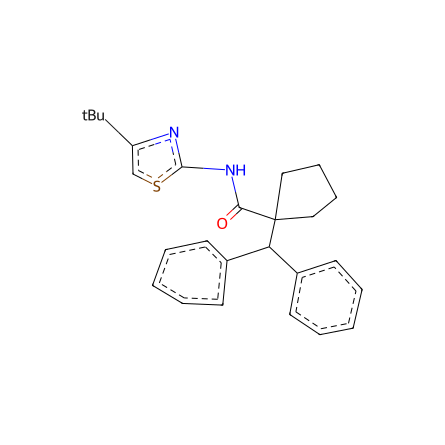 CC(C)(C)c1csc(NC(=O)C2(C(c3ccccc3)c3ccccc3)CCCC2)n1